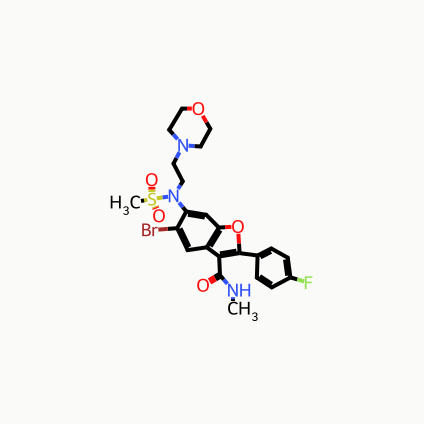 CNC(=O)c1c(-c2ccc(F)cc2)oc2cc(N(CCN3CCOCC3)S(C)(=O)=O)c(Br)cc12